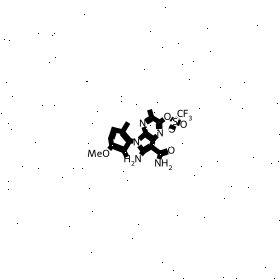 COc1ccc(C)c(-n2c(N)c(C(N)=O)c3nc(OS(=O)(=O)C(F)(F)F)c(C)nc32)c1C